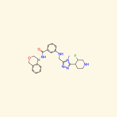 Cn1c(CNc2cccc(C(=O)N[C@H]3COCc4ccccc43)c2)nnc1C1CCNCC1F